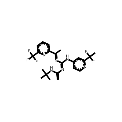 C=C(/N=C(\N=C(/C)c1cccc(C(F)(F)F)n1)Nc1ccnc(C(C)(F)F)c1)NC(C)(C)C